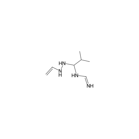 C=CNNC(NC=N)C(C)C